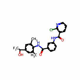 Cc1cc(C(O)C(F)(F)F)cc(C)c1NC(=O)c1cccc(NC(=O)c2cccnc2Cl)c1